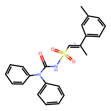 C/C(=C\S(=O)(=O)NC(=O)N(c1ccccc1)c1ccccc1)c1cccc(C)c1